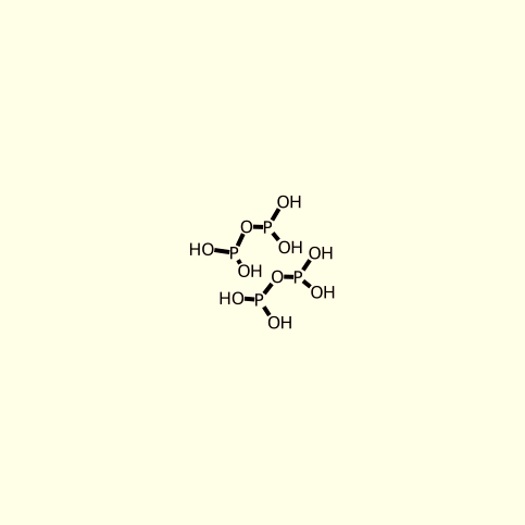 OP(O)OP(O)O.OP(O)OP(O)O